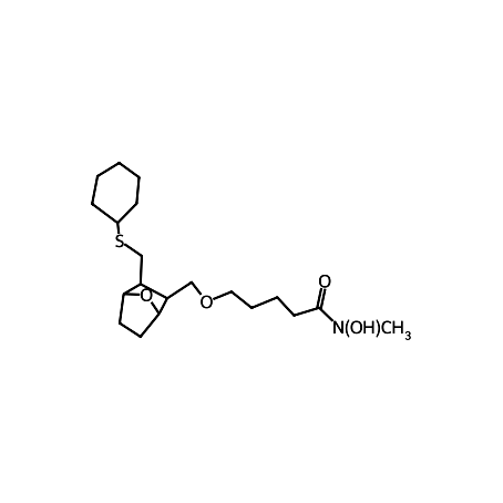 CN(O)C(=O)CCCCOCC1C2CCC(O2)C1CSC1CCCCC1